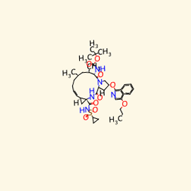 CCCOc1cnc(O[C@@H]2C[C@H]3C(=O)N[C@]4(C(=O)NS(=O)(=O)C5CC5)C[C@H]4/C=C\CC[C@@H](C)C[C@@H](C)[C@H](NC(=O)OC(C)(C)C)C(=O)N3C2)c2ccccc12